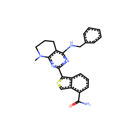 CN1CCCc2c(NCc3ccccc3)nc(-c3scc4c(C(N)=O)cccc34)nc21